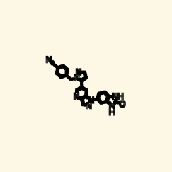 N#Cc1ccc(Cn2nccc2-c2cnc3cnn(-c4ccc5[nH]c(=O)[nH]c5c4)c3c2)cc1